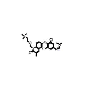 Cc1cc2cc(Oc3c(Cl)cc(/N=C\N(C)C)cc3Cl)ccc2n(COCC[Si](C)(C)C)c1=O